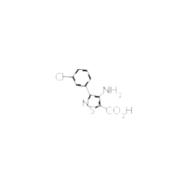 Nc1c(-c2cccc(Cl)c2)nsc1C(=O)O